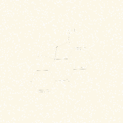 CN1c2ccccc2C(O)(C(=O)OO)C2C=CC=CC21